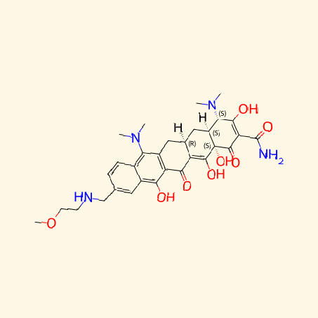 COCCNCc1ccc2c(N(C)C)c3c(c(O)c2c1)C(=O)C1=C(O)[C@]2(O)C(=O)C(C(N)=O)=C(O)[C@@H](N(C)C)[C@@H]2C[C@@H]1C3